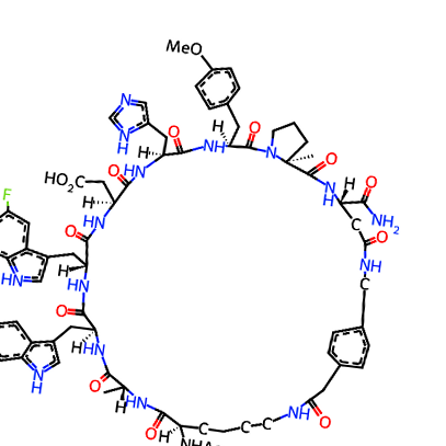 COc1ccc(C[C@@H]2NC(=O)[C@H](Cc3cnc[nH]3)NC(=O)[C@H](CC(=O)O)NC(=O)[C@@H](Cc3c[nH]c4ccc(F)cc34)NC(=O)[C@H](Cc3c[nH]c4ccc(F)cc34)NC(=O)[C@@H](C)NC(=O)[C@H](NC(C)=O)CCCCNC(=O)Cc3ccc(cc3)CNC(=O)C[C@@H](C(N)=O)NC(=O)[C@]3(C)CCCN3C2=O)cc1